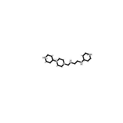 C1CC(NCCNCN2CCN(C3CCNCC3)CC2)CCN1